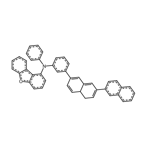 C1=CC2CC=C(c3ccc4ccccc4c3)C=C2C=C1c1cccc(N(c2ccccc2)c2cccc3oc4ccccc4c23)c1